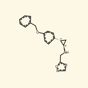 c1ccc(COc2ccc([C@@H]3C[C@H]3NCc3ncno3)cc2)cc1